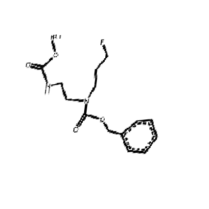 CC(C)(C)OC(=O)NCCN(CCCF)C(=O)OCc1ccccc1